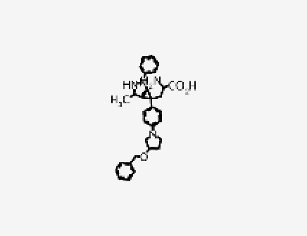 CC1NN(c2ccccc2)C2=C1C2(CC(N)C(=O)O)c1ccc(N2CCC(OCc3ccccc3)C2)cc1